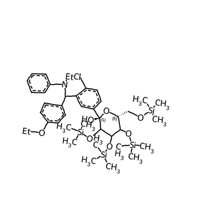 CCOc1ccc(C(c2cc([C@]3(O)O[C@H](CO[Si](C)(C)C)C(O[Si](C)(C)C)C(O[Si](C)(C)C)C3O[Si](C)(C)C)ccc2Cl)N(CC)c2ccccc2)cc1